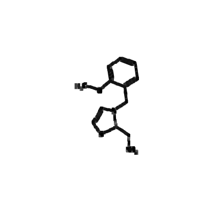 COc1ccccc1CN1C=CSC1CN